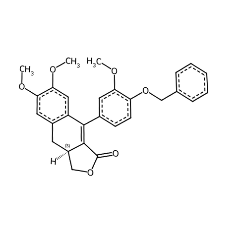 COc1cc2c(cc1OC)C(c1ccc(OCc3ccccc3)c(OC)c1)=C1C(=O)OC[C@H]1C2